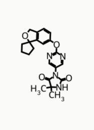 CC1(C)NC(=O)N(c2cnc(Oc3ccc4c(c3)C3(CCCC3)OC4)nc2)C1=O